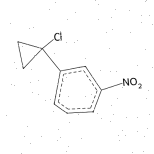 O=[N+]([O-])c1cccc(C2(Cl)CC2)c1